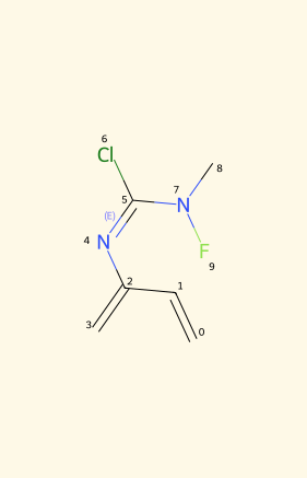 C=CC(=C)/N=C(/Cl)N(C)F